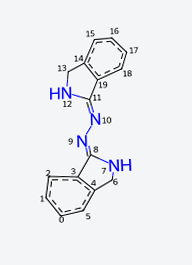 c1ccc2c(c1)CNC2=NN=C1NCc2ccccc21